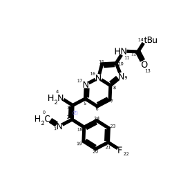 C=N/C(=C(\N)c1ccc2nc(NC(=O)C(C)(C)C)cn2n1)c1ccc(F)cc1